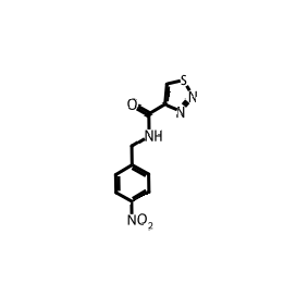 O=C(NCc1ccc([N+](=O)[O-])cc1)c1csnn1